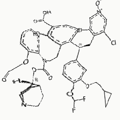 O=COc1ccccc1N(Cc1c([C@@H](Cc2c(Cl)c[n+]([O-])cc2Cl)c2ccc(OC(F)F)c(OCC3CC3)c2)ccc(C(=O)O)c1O)C(=O)O[C@H]1CN2CCC1CC2